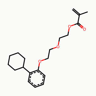 C=C(C)C(=O)OCCOCCOc1ccccc1C1CCCCC1